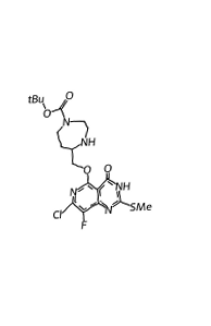 CSc1nc2c(F)c(Cl)nc(OCC3CCN(C(=O)OC(C)(C)C)CCN3)c2c(=O)[nH]1